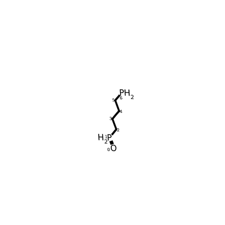 O=[PH2]CCCCP